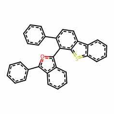 c1ccc(-c2ccc3c(sc4ccccc43)c2-c2oc(-c3ccccc3)c3ccccc23)cc1